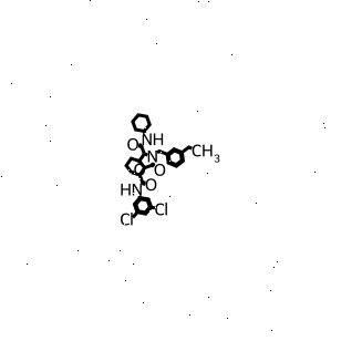 CCc1cccc(CN2C(=O)C3C(C(=O)Nc4cc(Cl)cc(Cl)c4)C4CCC3(O4)C2C(=O)NC2CCCCC2)c1